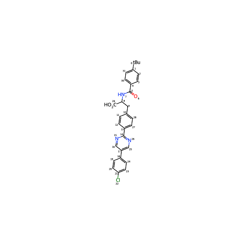 CC(C)(C)c1ccc(C(=O)NC(Cc2ccc(-c3ncc(-c4ccc(Cl)cc4)cn3)cc2)C(=O)O)cc1